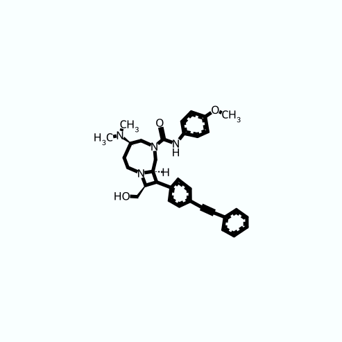 COc1ccc(NC(=O)N2C[C@H](N(C)C)CCN3[C@H](CO)C(c4ccc(C#Cc5ccccc5)cc4)[C@@H]3C2)cc1